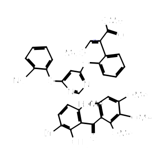 CO/C=C(/C(=O)OC)c1ccccc1Oc1cc(Oc2ccccc2C#N)ncn1.COc1cc(C)c(C(=O)c2c(OC)ccc(Br)c2C)c(OC)c1OC